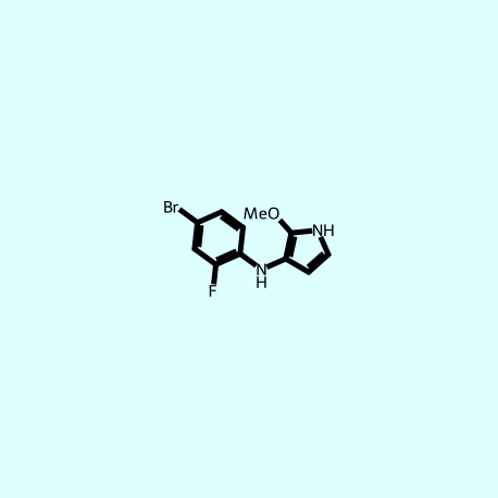 COc1[nH]ccc1Nc1ccc(Br)cc1F